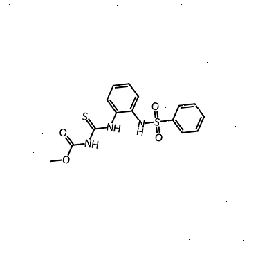 COC(=O)NC(=S)Nc1ccccc1NS(=O)(=O)c1ccccc1